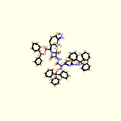 Cc1nnsc1/C=C\C1=C(C(=O)OC(c2ccccc2)c2ccccc2)N2C(=O)C(NC(=O)/C(=N\OC(c3ccccc3)(c3ccccc3)c3ccccc3)c3csc(NC(c4ccccc4)(c4ccccc4)c4ccccc4)n3)[C@H]2SC1